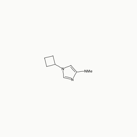 CNc1cn(C2CCC2)cn1